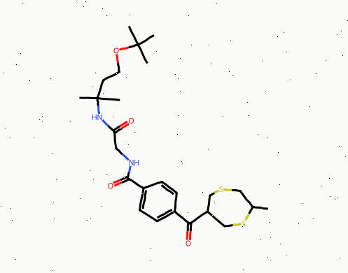 CC1CSCC(C(=O)c2ccc(C(=O)NCC(=O)NC(C)(C)CCOC(C)(C)C)cc2)CS1